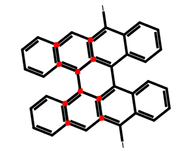 Ic1cc(P(c2ccccc2)c2ccccc2)c(-c2c(P(c3ccccc3)c3ccccc3)cc(I)c3ccccc23)c2ccccc12